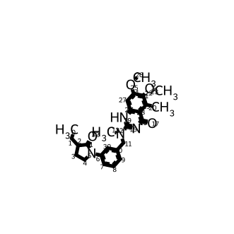 CCC1CCN(c2cccc(CN(C)c3nc(=O)c4c(C)c(OC)c(OC)cc4[nH]3)c2)C1=O